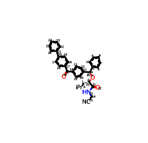 CC(C)C[C@H](O[C@H](c1ccccc1)c1ccc(C(=O)c2ccc(-c3ccccc3)cc2)cc1)C(=O)NCC#N